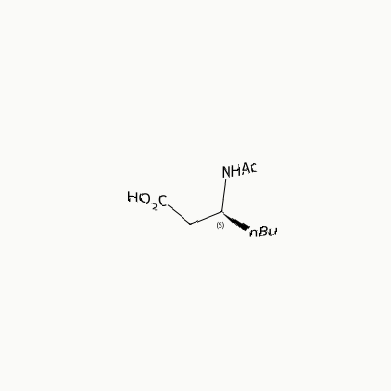 CCCC[C@@H](CC(=O)O)NC(C)=O